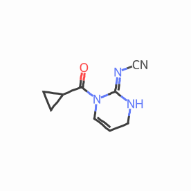 N#CN=C1NCC=CN1C(=O)C1CC1